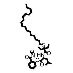 CC/C=C\C/C=C\C/C=C\CCCCCCCCSC(CC)(CC)C(=O)NC(CC(C)C)C(=O)Oc1ccccc1C(=O)N=O